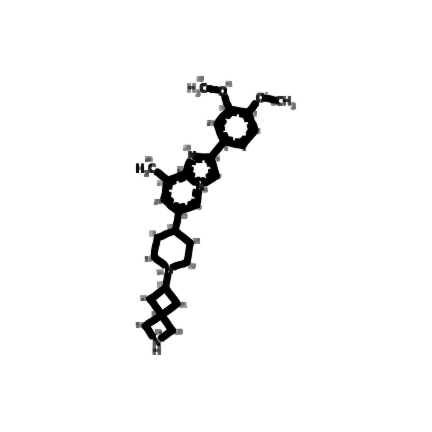 COc1ccc(-c2cn3cc(C4CCN(C5CC6(CNC6)C5)CC4)cc(C)c3n2)cc1OC